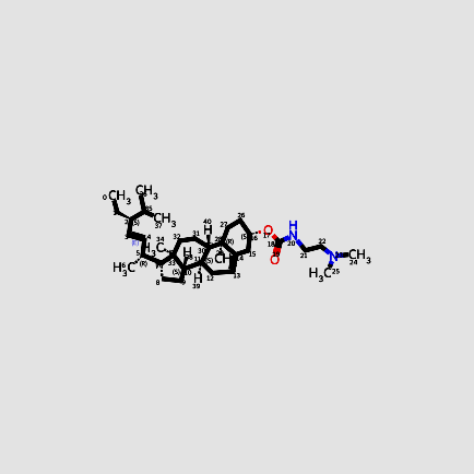 CC[C@H](/C=C/[C@@H](C)[C@H]1CC[C@H]2[C@@H]3CC=C4C[C@@H](OC(=O)NCCN(C)C)CC[C@]4(C)[C@H]3CC[C@]12C)C(C)C